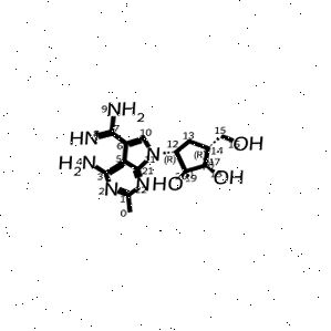 Cc1nc(N)c2c(C(=N)N)cn([C@@H]3C[C@H](CO)[C@@H](O)[C@H]3O)c2n1